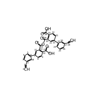 C#Cc1cccc(-c2ccc(C(=O)O)c(C(=O)OC(=O)c3cc(-c4cccc(C#C)c4)ccc3C(=O)O)c2)c1